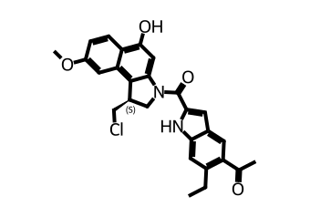 CCc1cc2[nH]c(C(=O)N3C[C@@H](CCl)c4c3cc(O)c3ccc(OC)cc43)cc2cc1C(C)=O